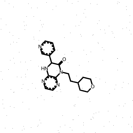 O=C1C(c2cccnc2)Nc2nccnc2N1CCC1CCOCC1